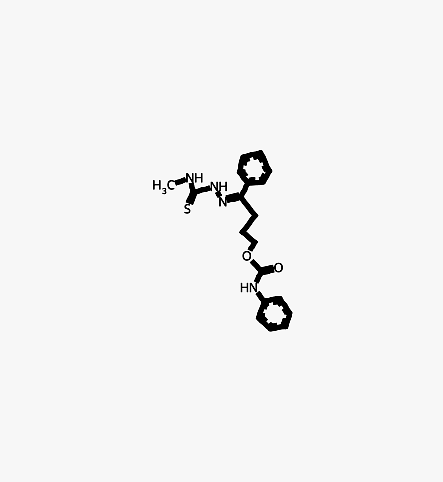 CNC(=S)NN=C(CCCOC(=O)Nc1ccccc1)c1ccccc1